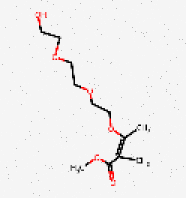 COC(=O)C(C)=C(C)OCCOCCOCCO